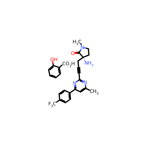 Cc1cc(-c2ccc(C(F)(F)F)cc2)nc(C#CC[C@]2(N)CCN(C)C2=O)n1.O=C(O)c1ccccc1O